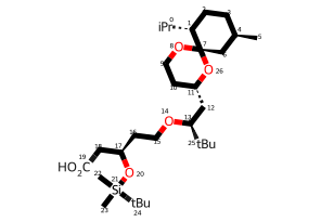 CC(C)[C@@H]1CC[C@@H](C)C[C@@]12OCC[C@@H](C[C@H](OCC[C@H](CC(=O)O)O[Si](C)(C)C(C)(C)C)C(C)(C)C)O2